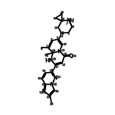 CC1=CC(N2CCNC3(CC3)C2)=CN2C(=O)C=C(c3ccc4nc(C)cn4n3)NC12C